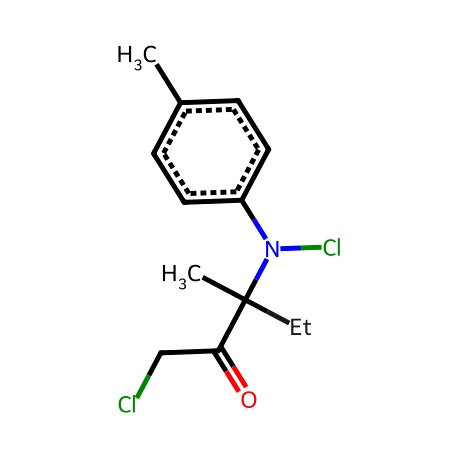 CCC(C)(C(=O)CCl)N(Cl)c1ccc(C)cc1